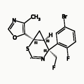 Cc1ncoc1[C@]12C[C@H]1[C@@](CF)(c1cc(Br)ccc1F)N=[C]S2